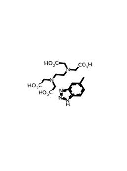 Cc1ccc2[nH]nnc2c1.O=C(O)CN(CCN(CC(=O)O)CC(=O)O)CC(=O)O